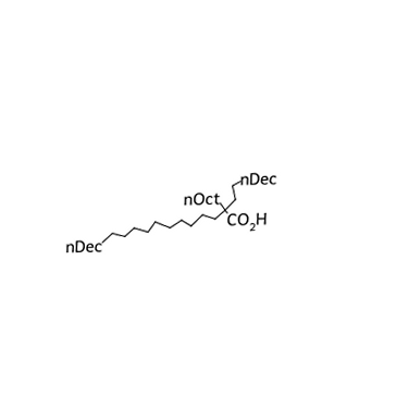 CCCCCCCCCCCCCCCCCCCCC(CCCCCCCC)(CCCCCCCCCCCC)C(=O)O